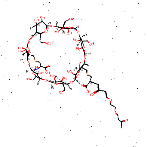 CNC(CSCC1OC2O[C@@H]3C(CO)O[C@H](O[C@@H]4C(CO)O[C@H](O[C@@H]5C(CO)O[C@@H](O[C@@H]6C(CSC[C@@H](CC(=O)CCOCCOCCC(C)=O)C(=O)O)O[C@H](O[C@@H]7C(CO)O[C@@H](O[C@@H]8C(CO)O[C@@H](O[C@H]1[C@H](O)C2O)C(O)[C@H]8O)C(O)[C@H]7O)C(O)[C@H]6O)C(O)[C@H]5O)C(O)[C@H]4O)C(O)[C@H]3O)C(=O)O